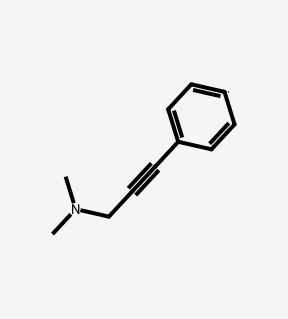 CN(C)CC#Cc1cc[c]cc1